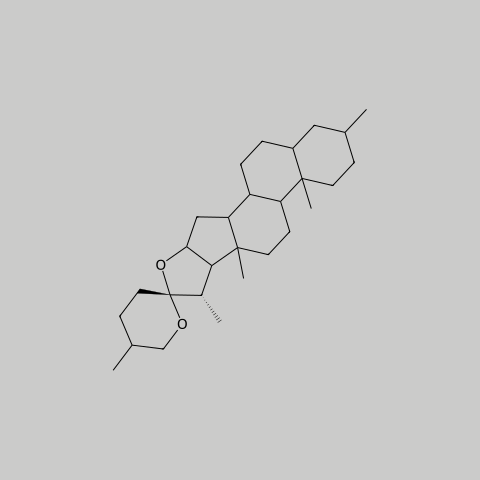 CC1CC[C@@]2(OC1)OC1CC3C4CCC5CC(C)CCC5(C)C4CCC3(C)C1[C@@H]2C